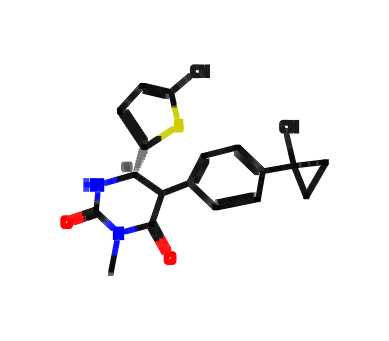 CN1C(=O)N[C@H](c2ccc(C#N)s2)C(c2ccc(C3(C#N)CC3)cc2)C1=O